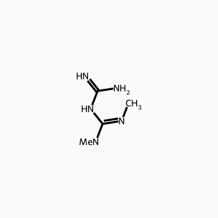 CN=C(NC)NC(=N)N